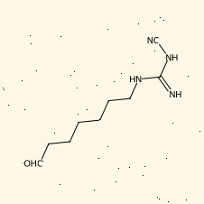 N#CNC(=N)NCCCCCC[C]=O